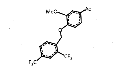 COc1cc(C(C)=O)ccc1OCc1ccc(C(F)(F)F)cc1C(F)(F)F